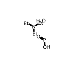 CCN(CC)CC.O.O=PO